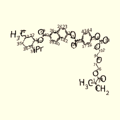 C=C(C)C(=O)OCCOCCOC(=O)Oc1ccc(C(=O)Oc2ccc3cc(C(=O)OC4CC(C)CCC4C(C)C)ccc3c2)cc1